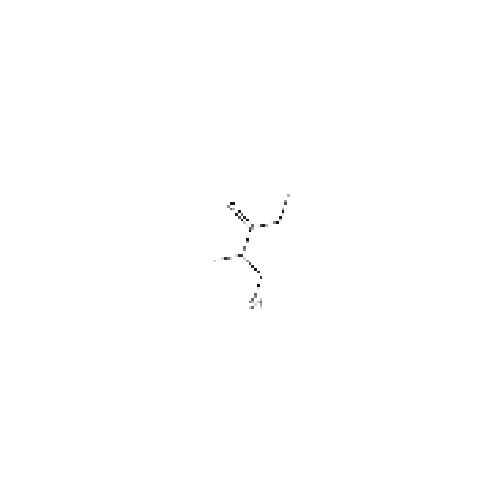 CCC(=O)C(C)CS